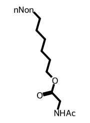 CCCCCCCCCCCCCCCOC(=O)CNC(C)=O